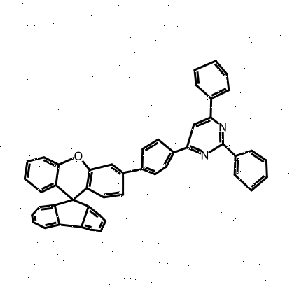 c1ccc(-c2cc(-c3ccc(-c4ccc5c(c4)Oc4ccccc4C54c5ccccc5-c5ccccc54)cc3)nc(-c3ccccc3)n2)cc1